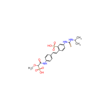 COC(C(=O)Nc1ccc(/C=C/c2ccc(NC(=S)NC(C)C)cc2S(=O)(=O)O)cc1)S(=O)(=O)O